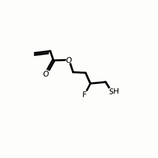 C=CC(=O)OCCC(F)CS